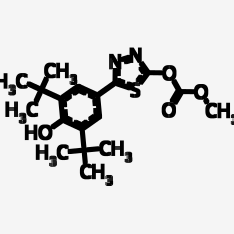 COC(=O)Oc1nnc(-c2cc(C(C)(C)C)c(O)c(C(C)(C)C)c2)s1